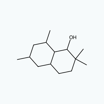 CC1CC(C)C2C(CCC(C)(C)C2O)C1